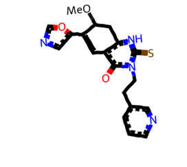 COC1Cc2[nH]c(=S)n(CCc3cccnc3)c(=O)c2C=C1c1cnco1